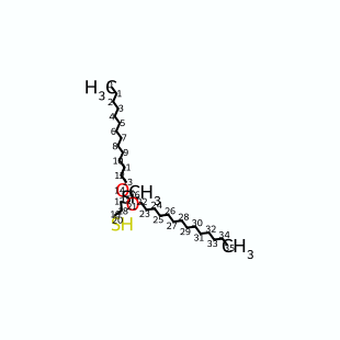 CCCCCCCCCCCCCCO[Si](C)(CCCS)OCCCCCCCCCCCCCC